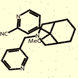 COC1(c2ccnc(C#N)c2)C2CCCC1CN(Cc1cccnc1)C2